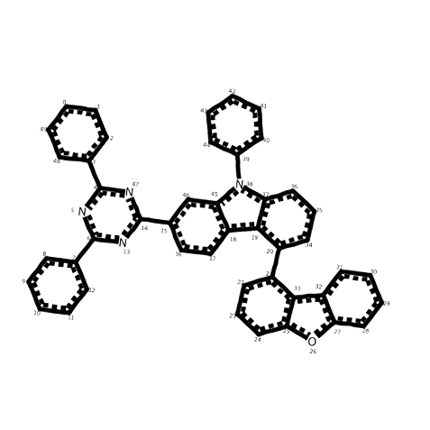 c1ccc(-c2nc(-c3ccccc3)nc(-c3ccc4c5c(-c6cccc7oc8ccccc8c67)cccc5n(-c5ccccc5)c4c3)n2)cc1